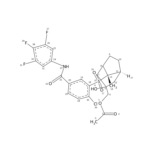 CC(=O)OCC1(O)CC2CC[C@@H](C1)[C@]2(C)S(=O)(=O)c1cc(C(=O)Nc2cc(F)c(F)c(F)c2)ccc1Cl